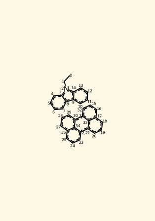 CCn1c2ccccc2c2ccccc21.c1cc2cccc3c4cccc5cccc(c(c1)c23)c54